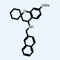 COc1ccc2c(c1)OC1(CCCCC1)CC2NCc1ccc2ccccc2c1